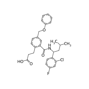 CC(C)CC(NC(=O)c1cc(COc2ccccc2)ccc1CCC(=O)O)c1ccc(F)cc1Cl